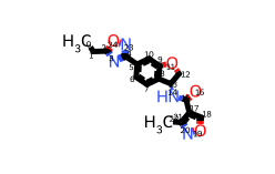 CCc1nc(-c2ccc3c(c2)OC[C@H]3NC(=O)c2conc2C)no1